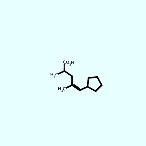 CC(=CC1CCCC1)CC(C)C(=O)O